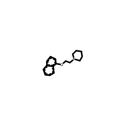 [CH]1CCN(CCOc2cccc3ccccc23)CC1